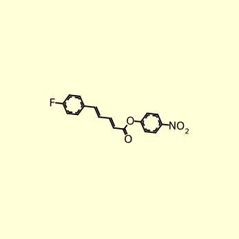 O=C(C=CC=Cc1ccc(F)cc1)Oc1ccc([N+](=O)[O-])cc1